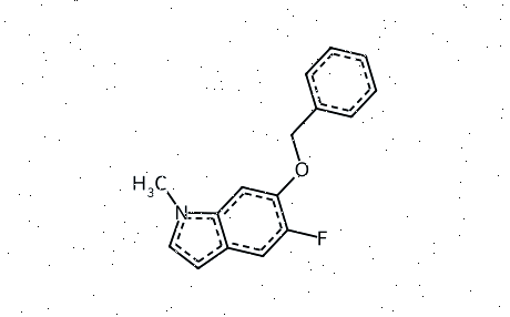 Cn1ccc2cc(F)c(OCc3ccccc3)cc21